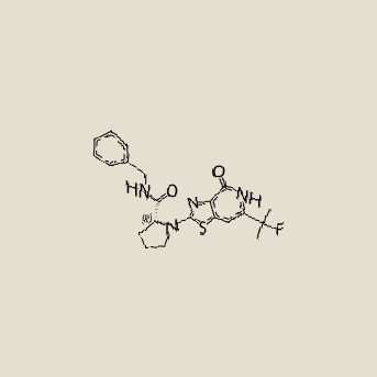 CC(C)(F)c1cc2sc(N3CCC[C@@H]3C(=O)NCc3ccccc3)nc2c(=O)[nH]1